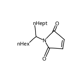 CCCCCCCC(CCCCCC)N1C(=O)C=CC1=O